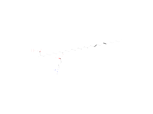 CCCCCC=CCC=CCCCCCCCCCC(CCCCCCC(C)C(=O)O)OC(=O)CCCN(C)C